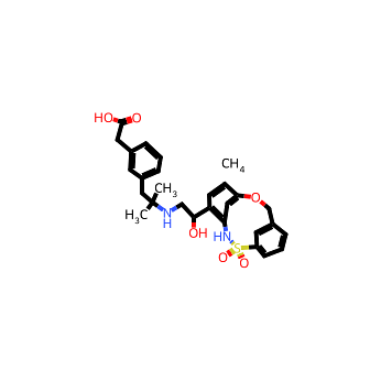 C.CC(C)(Cc1cccc(CC(=O)O)c1)NCC(O)c1ccc2cc1NS(=O)(=O)c1cccc(c1)CO2